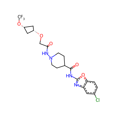 O=C(CO[C@H]1C[C@@H](OC(F)(F)F)C1)NN1CCC(C(=O)Nc2nc3cc(Cl)ccc3o2)CC1